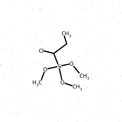 CCC(Cl)[Si](OC)(OC)OC